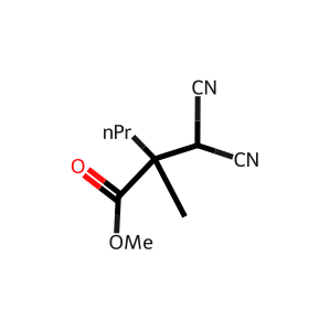 CCCC(C)(C(=O)OC)C(C#N)C#N